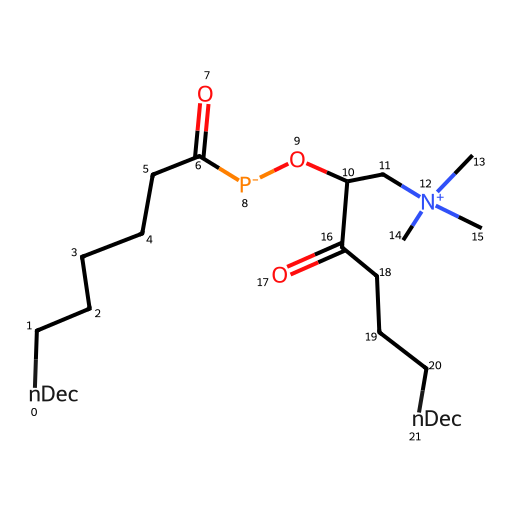 CCCCCCCCCCCCCCCC(=O)[P-]OC(C[N+](C)(C)C)C(=O)CCCCCCCCCCCCC